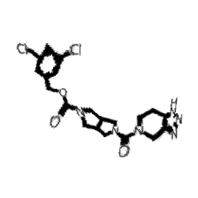 O=C(OCc1cc(Cl)cc(Cl)c1)N1CC2CN(C(=O)N3CCc4[nH]nnc4C3)CC2C1